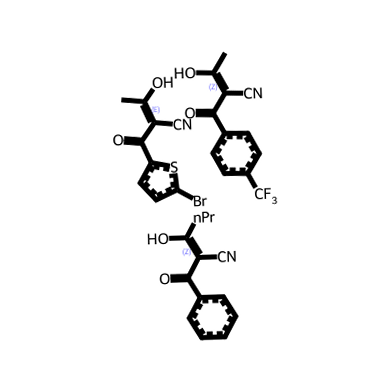 C/C(O)=C(/C#N)C(=O)c1ccc(Br)s1.C/C(O)=C(\C#N)C(=O)c1ccc(C(F)(F)F)cc1.CCC/C(O)=C(\C#N)C(=O)c1ccccc1